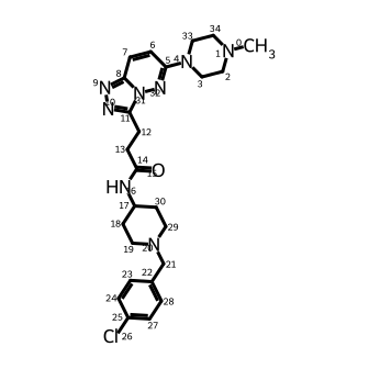 CN1CCN(c2ccc3nnc(CCC(=O)NC4CCN(Cc5ccc(Cl)cc5)CC4)n3n2)CC1